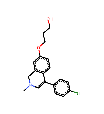 CN1C=C(c2ccc(Cl)cc2)c2ccc(OCCCO)cc2C1